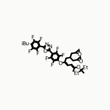 CC[C@@H](C)c1c(F)c(F)c(-c2nnc(-c3c(F)c(F)c(O/C(=C/C=C(\C)OC(C)(CC)CC)CC(CC4CO4)CC4CO4)c(F)c3F)o2)c(F)c1F